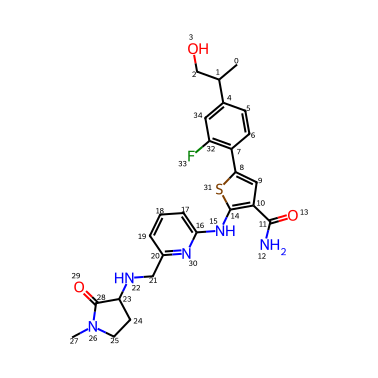 CC(CO)c1ccc(-c2cc(C(N)=O)c(Nc3cccc(CNC4CCN(C)C4=O)n3)s2)c(F)c1